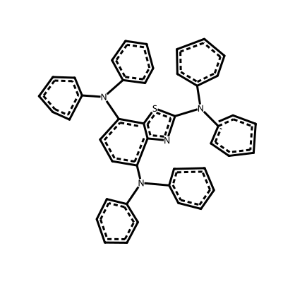 c1ccc(N(c2ccccc2)c2nc3c(N(c4ccccc4)c4ccccc4)ccc(N(c4ccccc4)c4ccccc4)c3s2)cc1